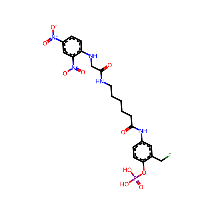 O=C(CNc1ccc([N+](=O)[O-])cc1[N+](=O)[O-])NCCCCCC(=O)Nc1ccc(OP(=O)(O)O)c(CF)c1